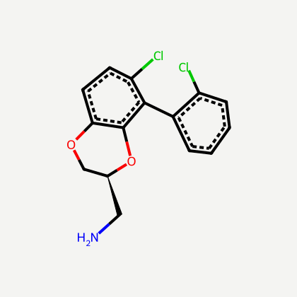 NC[C@H]1COc2ccc(Cl)c(-c3ccccc3Cl)c2O1